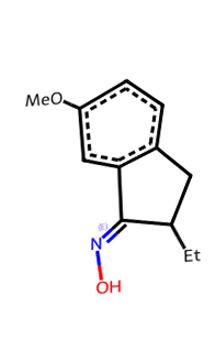 CCC1Cc2ccc(OC)cc2/C1=N/O